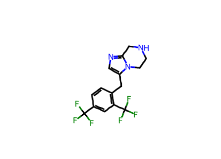 FC(F)(F)c1ccc(Cc2cnc3n2CCNC3)c(C(F)(F)F)c1